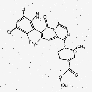 C[C@H]1CN(C(=O)OC(C)(C)C)CCN1c1ncnn2c(=O)c(-c3c(N)c(Cl)cc(Cl)c3F)c(C(F)(F)F)cc12